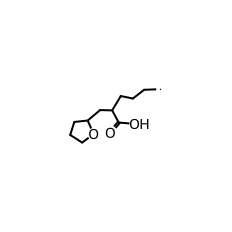 [CH2]CCCC(CC1CCCO1)C(=O)O